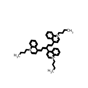 CCCCN1C=C/C(=C/C=C(/C=C/c2cc[n+](CCCC)c3ccccc23)c2cc[n+](CCCC)c3ccccc23)c2ccccc21